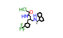 CC(=O)C(=N)CC(CN[C@H](C)c1cccc2ccccc12)Cc1cccc(C(F)(F)F)c1.Cl